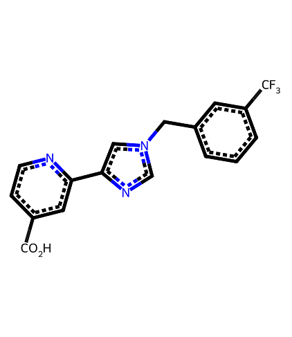 O=C(O)c1ccnc(-c2cn(Cc3cccc(C(F)(F)F)c3)cn2)c1